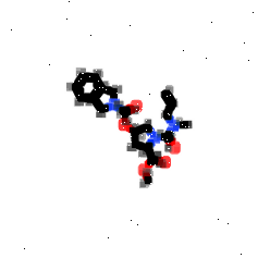 C=CCN(C)C(=O)N1C[C@H](OC(=O)N2Cc3ccccc3C2)CC1C(=O)OC